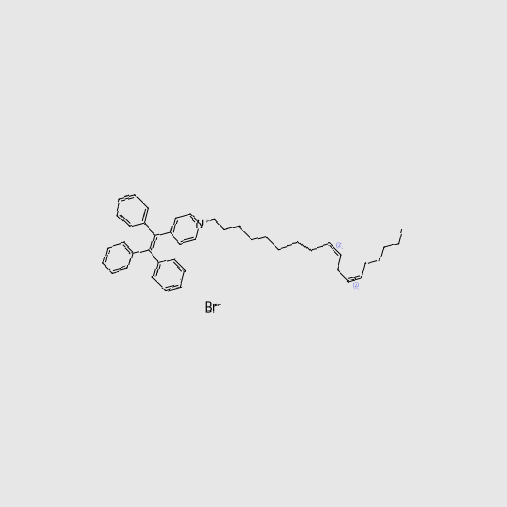 CCCCC/C=C\C/C=C\CCCCCCCC[n+]1ccc(C(=C(c2ccccc2)c2ccccc2)c2ccccc2)cc1.[Br-]